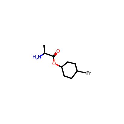 CC(C)C1CCC(OC(=O)[C@H](C)N)CC1